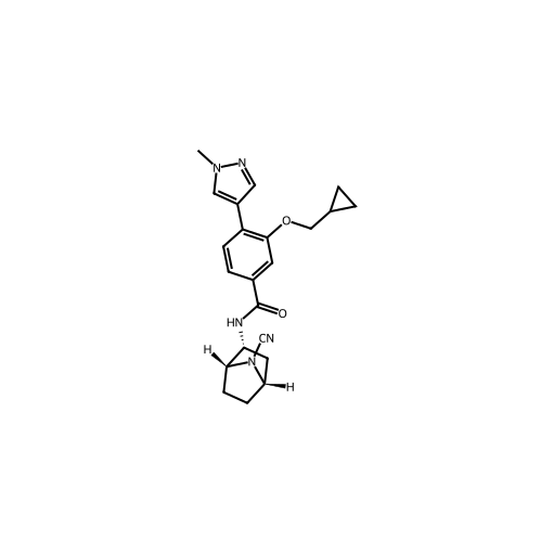 Cn1cc(-c2ccc(C(=O)N[C@@H]3C[C@@H]4CC[C@H]3N4C#N)cc2OCC2CC2)cn1